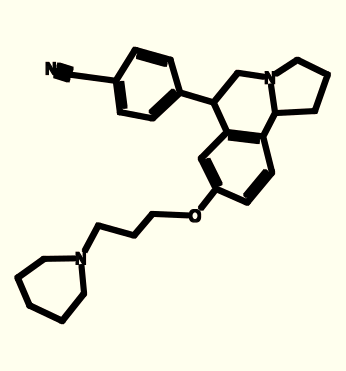 N#Cc1ccc(C2CN3CCCC3c3ccc(OCCCN4CCCCC4)cc32)cc1